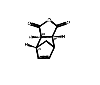 O=C1OC(=O)[C@@H]2C3C=C[C@@H](C3)[C@H]12